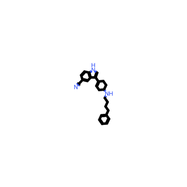 N#Cc1ccc2[nH]cc(C3=CCC(NCCCCc4ccccc4)CC3)c2c1